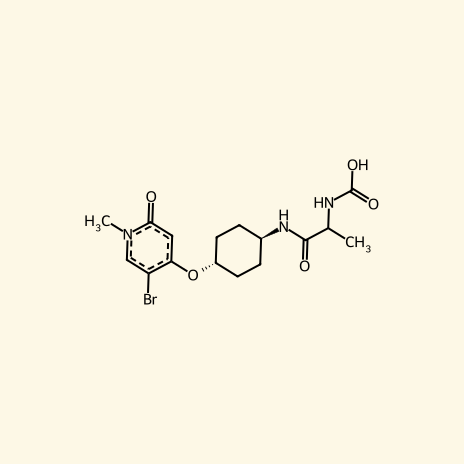 CC(NC(=O)O)C(=O)N[C@H]1CC[C@H](Oc2cc(=O)n(C)cc2Br)CC1